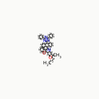 C=C/C=C\c1oc2cc3c(cc2c1C)nc(-c1c2ccccc2c(-c2nc(-c4ccccc4)nc(-c4ccccc4)n2)c2ccccc12)c1c2ccccc2oc31